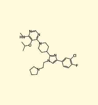 CNc1ncnc(N2CCC(c3nc(-c4ccc(F)c(Cl)c4)cn3CCN3CCCC3)CC2)c1OC(C)C